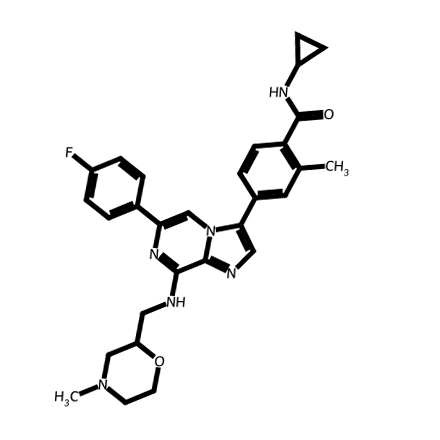 Cc1cc(-c2cnc3c(NCC4CN(C)CCO4)nc(-c4ccc(F)cc4)cn23)ccc1C(=O)NC1CC1